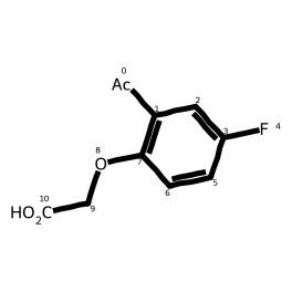 CC(=O)c1cc(F)ccc1OCC(=O)O